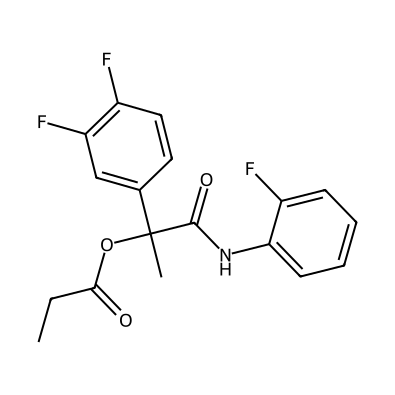 CCC(=O)OC(C)(C(=O)Nc1ccccc1F)c1ccc(F)c(F)c1